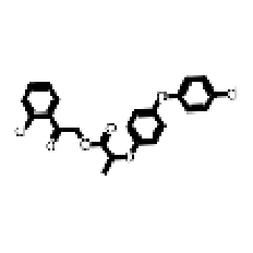 CC(Oc1ccc(Oc2ccc(Cl)cc2)cc1)C(=O)OCC(=O)c1ccccc1Cl